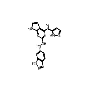 c1cc(Nc2nc(NNc3ccc4cn[nH]c4c3)nc3[nH]ccc23)[nH]n1